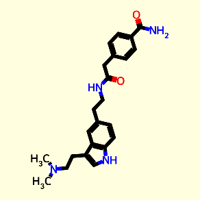 CN(C)CCc1c[nH]c2ccc(CCNC(=O)Cc3ccc(C(N)=O)cc3)cc12